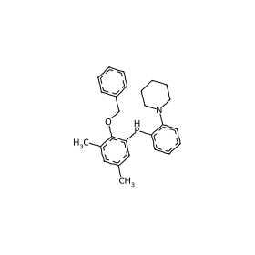 Cc1cc(C)c(OCc2ccccc2)c(Pc2ccccc2N2CCCCC2)c1